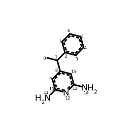 CC(c1ccccc1)c1cc(N)nc(N)c1